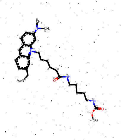 CNCc1ccc2cc3ccc(N(C)C)cc3[n+](CCCCCC(=O)NCCCCCNC(=O)OC(C)(C)C)c2c1